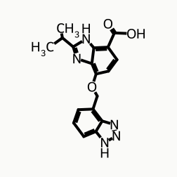 CC(C)c1nc2c(OCc3cccc4[nH]nnc34)ccc(C(=O)O)c2[nH]1